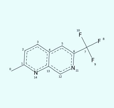 Cc1ccc2cc(C(F)(F)F)ncc2n1